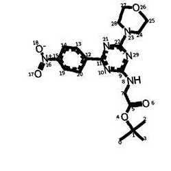 CC(C)(C)OC(=O)CNc1nc(-c2ccc([N+](=O)[O-])cc2)nc(N2CCOCC2)n1